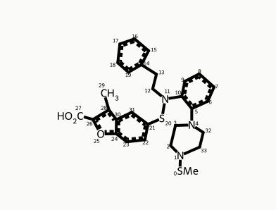 CSN1CCN(c2ccccc2N(CCc2ccccc2)Sc2ccc3oc(C(=O)O)c(C)c3c2)CC1